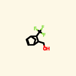 OCC1C2C=CC(C2)C1C(F)(F)F